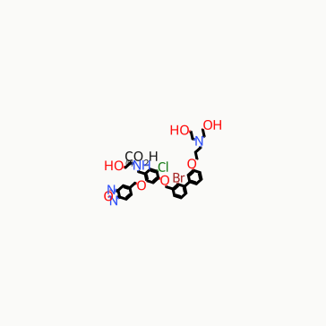 O=C(O)[C@@H](CO)NCc1cc(Cl)c(OCc2cccc(-c3cccc(OCCCN(CCO)CCO)c3)c2Br)cc1OCc1ccc2nonc2c1